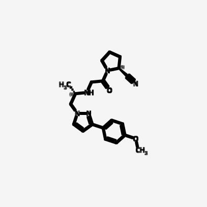 COc1ccc(-c2ccn(C[C@H](C)NCC(=O)N3CCC[C@H]3C#N)n2)cc1